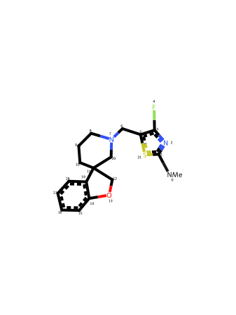 CNc1nc(F)c(CN2CCCC3(COc4ccccc43)C2)s1